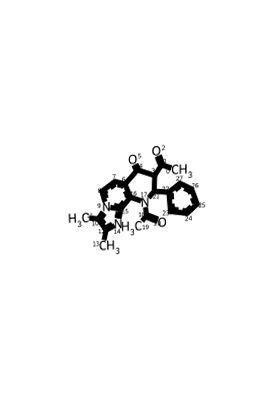 CC(=O)C1C(=O)c2ccn3c(C)c(C)nc3c2N(C(C)=O)C1c1ccccc1